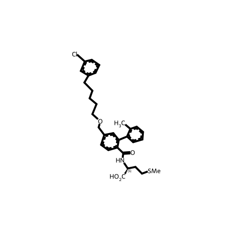 CSCC[C@H](NC(=O)c1ccc(COCCCCCc2cccc(Cl)c2)cc1-c1ccccc1C)C(=O)O